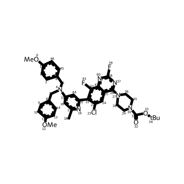 COc1ccc(CN(Cc2ccc(OC)cc2)c2cc(C)nc(-c3c(Cl)cc4c(N5CCN(C(=O)OC(C)(C)C)CC5)nc(F)nc4c3F)c2)cc1